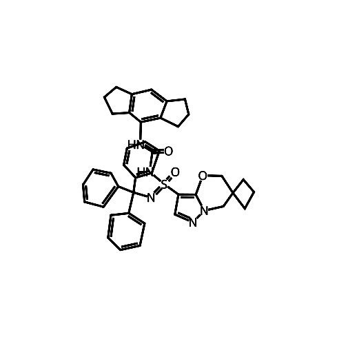 O=C(Nc1c2c(cc3c1CCC3)CCC2)NS(=O)(=NC(c1ccccc1)(c1ccccc1)c1ccccc1)c1cnn2c1OCC1(CCC1)C2